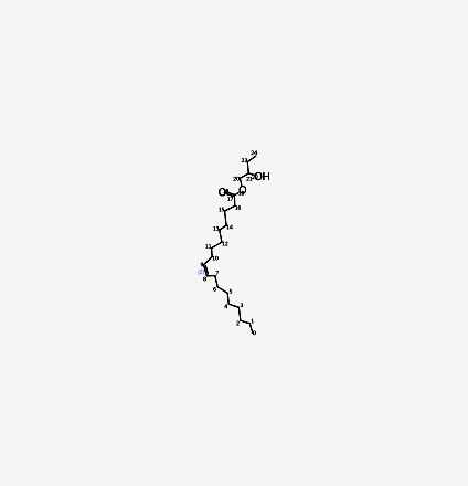 CCCCCCCC/C=C\CCCCCCCC(=O)OCC(O)CC